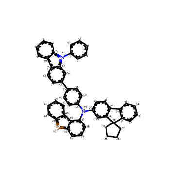 c1ccc(-n2c3ccccc3c3ccc(-c4ccc(N(c5ccc6c(c5)C5(CCCC5)c5ccccc5-6)c5cccc6sc7ccccc7c56)cc4)cc32)cc1